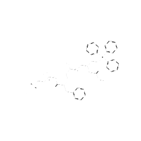 CC[C@H](C)C(COC(Cc1ccccc1)C(=O)N[C@H](CCS(C)(=O)=O)C(=O)O)NCC(CSC(c1ccccc1)(c1ccccc1)c1ccccc1)NC(=O)OC(C)(C)C